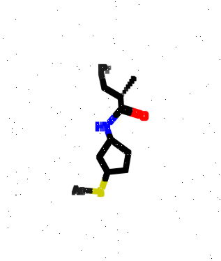 CC(=O)SC1CCC(NC(=O)[C@@H](C)CC(C)C)C1